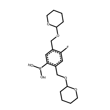 OB(O)c1cc(COC2CCCCO2)c(F)cc1COC1CCCCO1